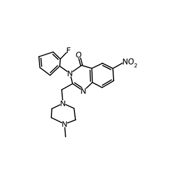 CN1CCN(Cc2nc3ccc([N+](=O)[O-])cc3c(=O)n2-c2ccccc2F)CC1